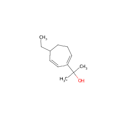 CCC1C=CC(C(C)(C)O)=CCC1